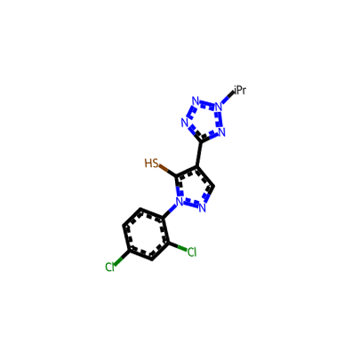 CC(C)n1nnc(-c2cnn(-c3ccc(Cl)cc3Cl)c2S)n1